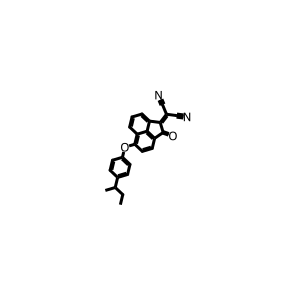 CCC(C)c1ccc(Oc2ccc3c(=O)c(=C(C#N)C#N)c4cccc2c34)cc1